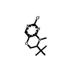 CN1c2nc(Cl)ncc2OCC1C(C)(C)C